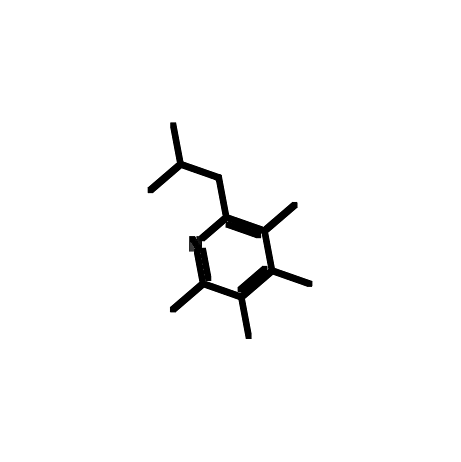 Cc1nc(CC(C)C)c(C)c(C)c1C